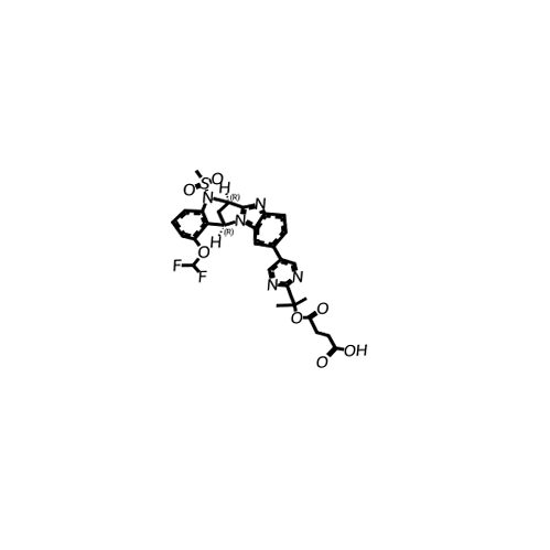 CC(C)(OC(=O)CCC(=O)O)c1ncc(-c2ccc3nc4n(c3c2)[C@@H]2C[C@H]4N(S(C)(=O)=O)c3cccc(OC(F)F)c32)cn1